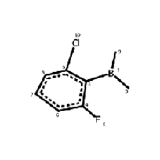 CB(C)c1c(F)cccc1Cl